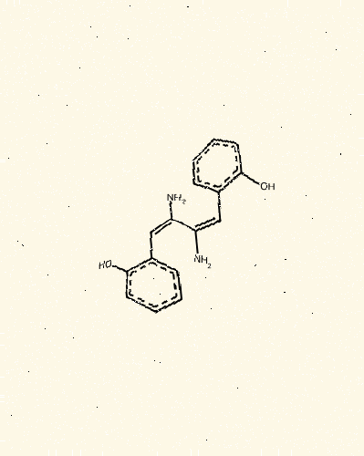 NC(=C/c1ccccc1O)/C(N)=C\c1ccccc1O